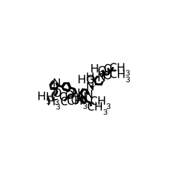 COc1cccnc1-c1ccc(CN(C(=O)OC(C)(C)C)c2cc(NC[C@H]3CCN(C(=O)OC(C)(C)C)C[C@@H]3O)nc3c(C(C)C)cnn23)cc1